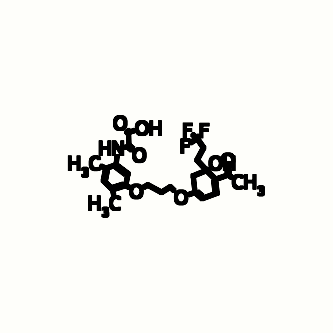 CC(=O)C1=CC=C(OCCCOc2cc(NC(=O)C(=O)O)c(C)cc2C)CC1(O)CCC(F)(F)F